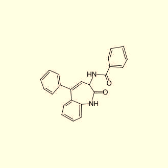 O=C(NC1C=C(c2ccccc2)c2ccccc2NC1=O)c1ccccc1